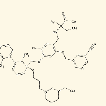 Cc1ccccc1C1=CC=CC(COc2cc(OCc3cncc(C#N)c3)c(CNC(C)(CO)C(=O)O)cc2Cl)(OCCCN2CCCC(CO)C2)C1C